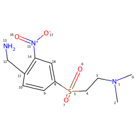 CN(C)CCS(=O)(=O)c1ccc(CN)c([N+](=O)[O-])c1